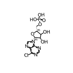 O=P(O)(O)OC[C@H]1O[C@@H](n2cnc3c(Cl)ncnc32)C(O)C1O